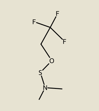 CN(C)SOCC(F)(F)F